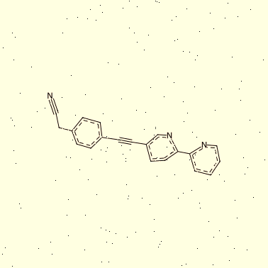 N#CCc1ccc(C#Cc2ccc(-c3ccccn3)nc2)cc1